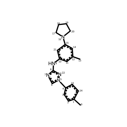 Cc1ccc(-n2cnc(Nc3cc(C)cc(N4CCCC4)c3)n2)cc1